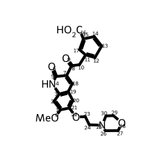 COc1cc2[nH]c(=O)c(C(=O)Cc3cccc(C(=O)O)c3)cc2cc1OCCN1CCOCC1